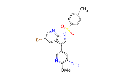 COc1ncc(-c2cn(S(=O)(=O)c3ccc(C)cc3)c3ncc(Br)cc23)cc1N